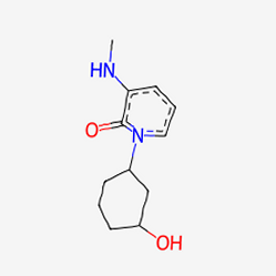 CNc1cccn(C2CCCC(O)C2)c1=O